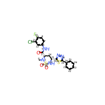 CN1[C@H](C(=O)Nc2ccc(F)c(Cl)c2)C[C@H](c2nnc(-c3ccccc3)s2)NS1(=O)=O